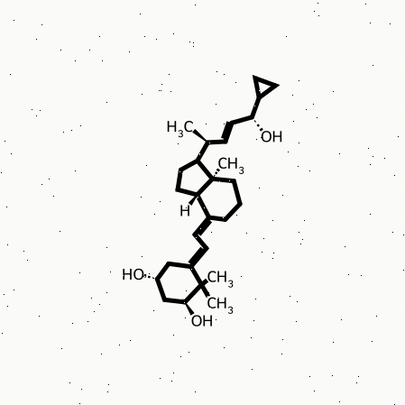 C[C@@H](/C=C/[C@@H](O)C1CC1)C1CC[C@H]2/C(=C/C=C3\C[C@@H](O)C[C@H](O)C3(C)C)CCC[C@]12C